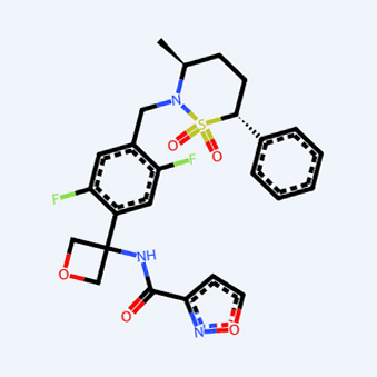 C[C@H]1CC[C@H](c2ccccc2)S(=O)(=O)N1Cc1cc(F)c(C2(NC(=O)c3ccon3)COC2)cc1F